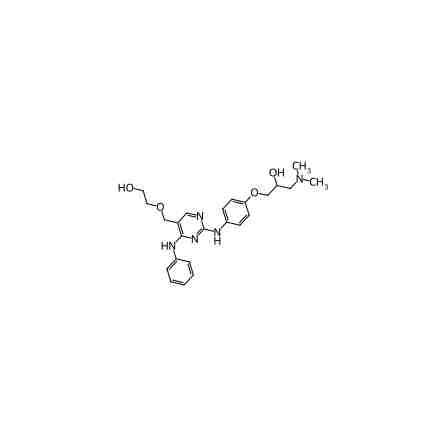 CN(C)CC(O)COc1ccc(Nc2ncc(COCCO)c(Nc3ccccc3)n2)cc1